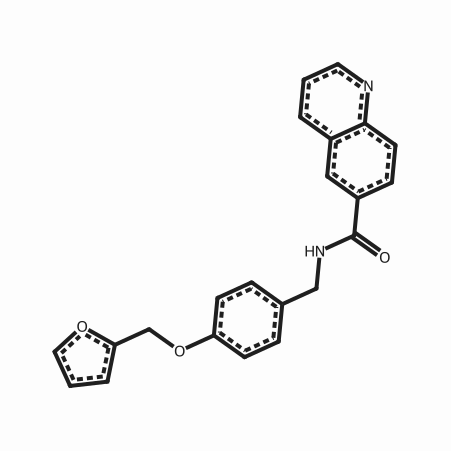 O=C(NCc1ccc(OCc2ccco2)cc1)c1ccc2ncccc2c1